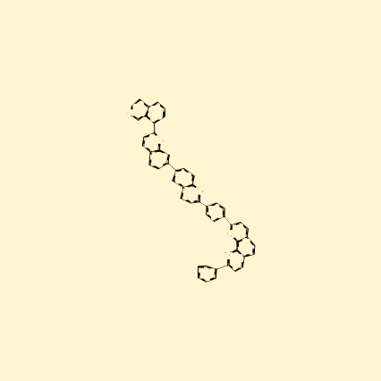 c1ccc(-c2ccc3ccc4ccc(-c5ccc(-c6ccc7cc(-c8ccc9ccc(-c%10cccc%11ccncc%10%11)nc9c8)ccc7n6)cc5)nc4c3n2)cc1